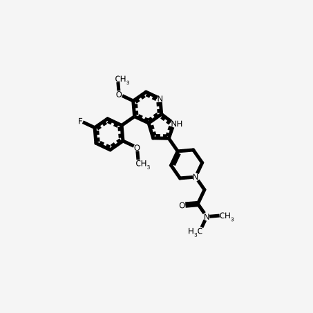 COc1ccc(F)cc1-c1c(OC)cnc2[nH]c(C3=CCN(CC(=O)N(C)C)CC3)cc12